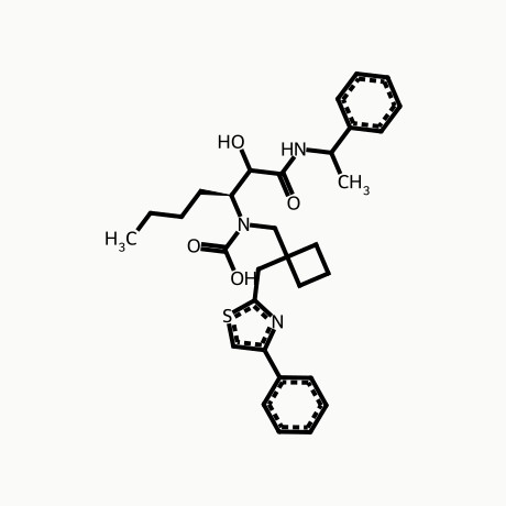 CCCC[C@@H](C(O)C(=O)NC(C)c1ccccc1)N(CC1(Cc2nc(-c3ccccc3)cs2)CCC1)C(=O)O